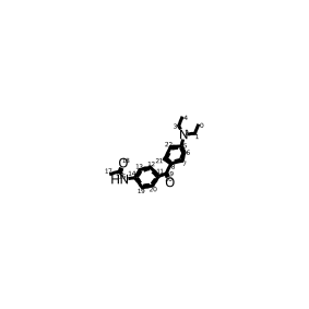 CCN(CC)c1ccc(C(=O)c2ccc(NC(C)=O)cc2)cc1